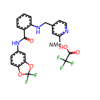 CNc1cc(CNc2ccccc2C(=O)Nc2ccc3c(c2)OC(F)(F)O3)ccn1.O=C(O)C(F)(F)F